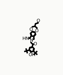 CC(C)(C)c1cc(C(=O)CN2Cc3cc4c(cc3C2=N)OCC(CC=O)CO4)cc(C(C)(C)C)c1O